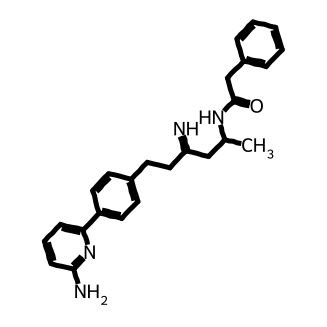 CC(CC(=N)CCc1ccc(-c2cccc(N)n2)cc1)NC(=O)Cc1ccccc1